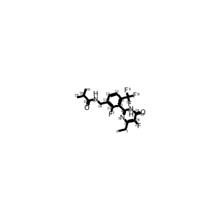 CCc1nc(-c2c(C(F)(F)F)ccc(CNC(=O)C(C)C)c2F)[nH]c(=O)c1F